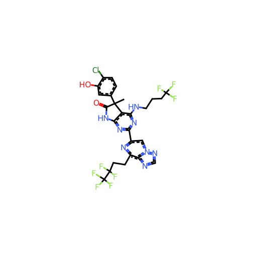 CC1(c2ccc(Cl)c(O)c2)C(=O)Nc2nc(-c3cn4ncnc4c(CCC(F)(F)C(F)(F)F)n3)nc(NCCCC(F)(F)F)c21